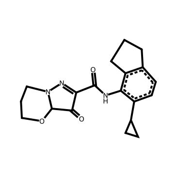 O=C(Nc1c(C2CC2)ccc2c1CCC2)C1=NN2CCCOC2C1=O